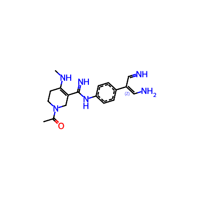 CNC1=C(C(=N)Nc2ccc(/C(C=N)=C/N)cc2)CN(C(C)=O)CC1